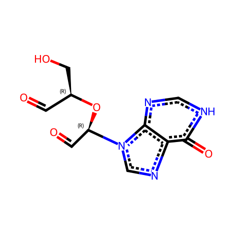 O=C[C@@H](CO)O[C@H](C=O)n1cnc2c(=O)[nH]cnc21